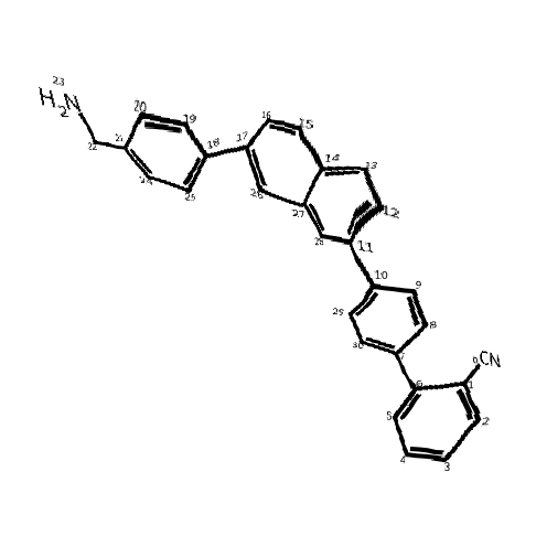 N#Cc1ccccc1-c1ccc(-c2ccc3ccc(-c4ccc(CN)cc4)cc3c2)cc1